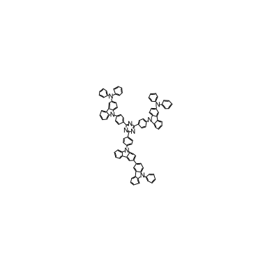 c1ccc(N(c2ccccc2)c2ccc3c(c2)c2ccccc2n3-c2ccc(-c3nc(-c4ccc(-n5c6ccccc6c6cc(-c7ccc8c(c7)c7ccccc7n8-c7ccccc7)ccc65)cc4)nc(-c4ccc(-n5c6ccccc6c6cc(N(c7ccccc7)c7ccccc7)ccc65)cc4)n3)cc2)cc1